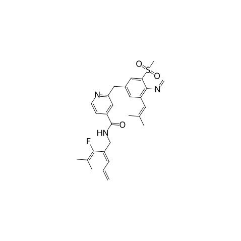 C=C/C=C(/CNC(=O)c1ccnc(Cc2cc(C=C(C)C)c(N=C)c(S(C)(=O)=O)c2)c1)C(F)=C(C)C